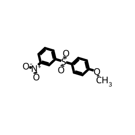 COc1ccc(S(=O)(=O)c2cccc([N+](=O)[O-])c2)cc1